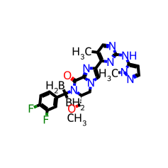 BC(B)(c1ccc(F)c(F)c1)N1C(=O)c2nc(-c3nc(Nc4ccnn4C)ncc3C)cn2C[C@@H]1COC